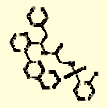 O=C(CNS(=O)(=O)c1ccccc1Cl)N[C@H](Cc1ccccc1)c1ncccc1-c1ccc2ccncc2c1